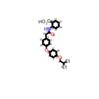 CCC(CC)COc1ccc(Oc2ccc(CC(=O)Nc3ccccc3C(=O)O)cc2)cc1